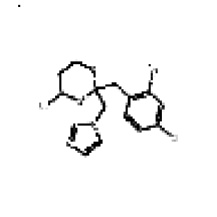 CCC1CCSC(Cc2ccc(Cl)cc2Cl)(Cn2ccnc2)S1